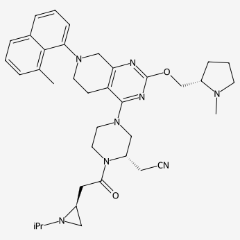 Cc1cccc2cccc(N3CCc4c(nc(OC[C@@H]5CCCN5C)nc4N4CCN(C(=O)C[C@H]5CN5C(C)C)[C@@H](CC#N)C4)C3)c12